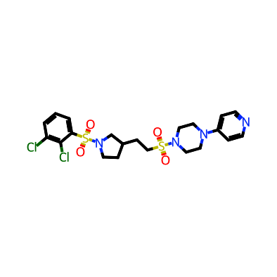 O=S(=O)(CCC1CCN(S(=O)(=O)c2cccc(Cl)c2Cl)C1)N1CCN(c2ccncc2)CC1